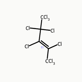 Cl/C(=C(/Cl)C(Cl)(Cl)C(Cl)(Cl)Cl)C(Cl)(Cl)Cl